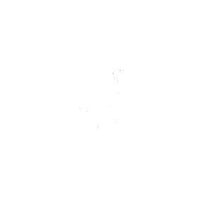 CC(=O)N1c2ccccc2C(=O)C1(O)c1cccc(C)c1